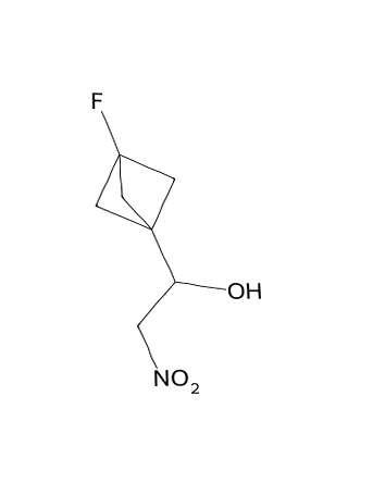 O=[N+]([O-])CC(O)C12CC(F)(C1)C2